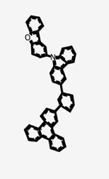 c1cc(-c2ccc3c4ccccc4c4ccccc4c3c2)cc(-c2ccc3c(c2)c2ccccc2n3-c2ccc3oc4ccccc4c3c2)c1